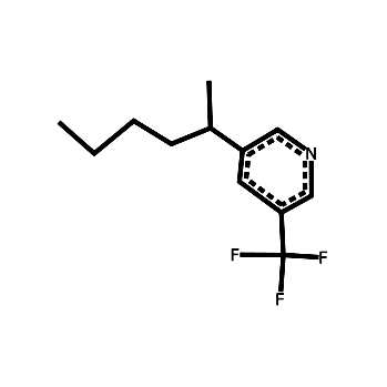 CCCCC(C)c1cncc(C(F)(F)F)c1